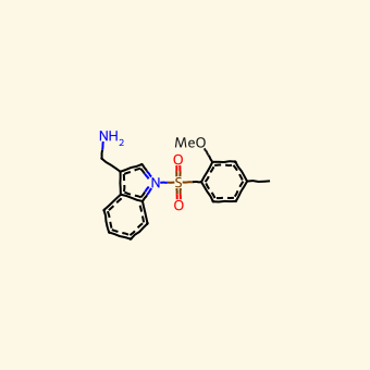 COc1cc(C)ccc1S(=O)(=O)n1cc(CN)c2ccccc21